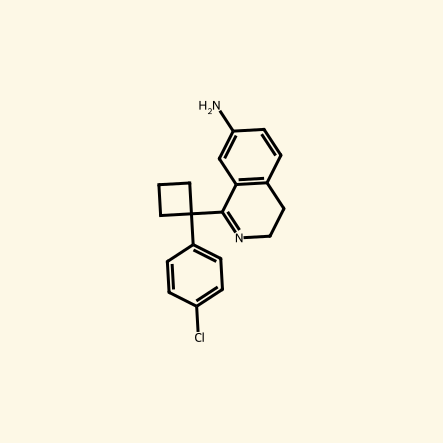 Nc1ccc2c(c1)C(C1(c3ccc(Cl)cc3)CCC1)=NCC2